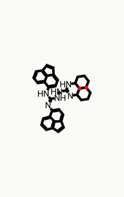 C1=Cc2ccc(N=C(NNC(=NC3CCCCC3)NC3CCCCC3)Nc3ccc4c5c(cccc35)C=C4)c3cccc1c23